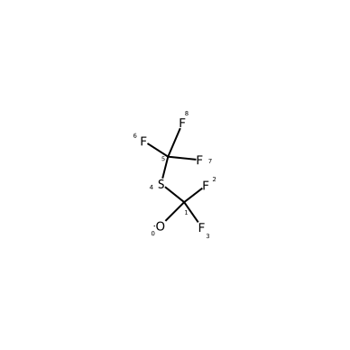 [O]C(F)(F)SC(F)(F)F